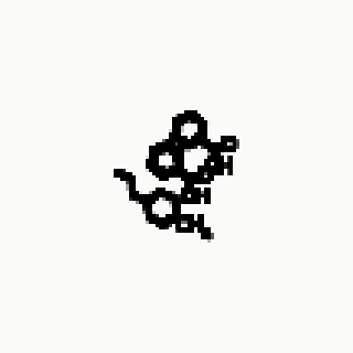 C.CCCC1CCCCC1.O=C(O)c1ccccc1.O=C(O)c1ccccc1